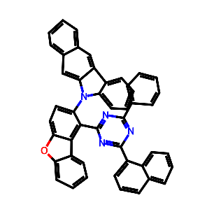 c1ccc(-c2nc(-c3cccc4ccccc34)nc(-c3c(-n4c5ccccc5c5cc6ccccc6cc54)ccc4oc5ccccc5c34)n2)cc1